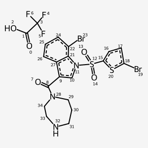 O=C(O)C(F)(F)F.O=C(c1cn(S(=O)(=O)c2ccc(Br)s2)c2c(Br)cccc12)N1CCCNCC1